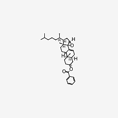 CC(C)CCC[C@@H](C)[C@H]1C[C@H]2OC23C2=CC[C@H]4C[C@@H](OC(=O)c5ccccc5)CC[C@]4(C)[C@H]2CC[C@]13C